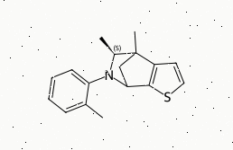 Cc1ccccc1N1C2CC(C)(c3ccsc32)[C@@H]1C